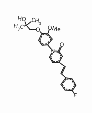 COc1cc(-n2ccc(C=Cc3ccc(F)cc3)cc2=O)ccc1OCC(C)(C)O